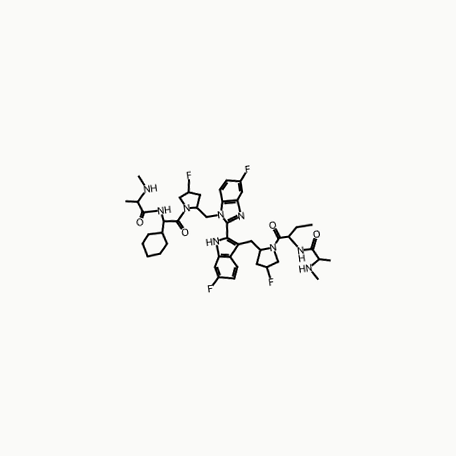 CCC(NC(=O)C(C)NC)C(=O)N1CC(F)CC1Cc1c(-c2nc3cc(F)ccc3n2CC2CC(F)CN2C(=O)C(NC(=O)C(C)NC)C2CCCCC2)[nH]c2cc(F)ccc12